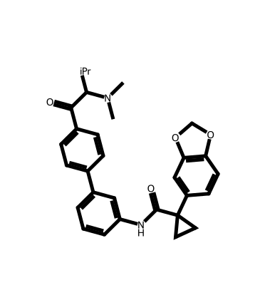 CC(C)C(C(=O)c1ccc(-c2cccc(NC(=O)C3(c4ccc5c(c4)OCO5)CC3)c2)cc1)N(C)C